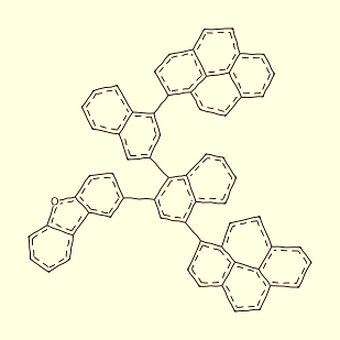 c1ccc2c(-c3ccc4ccc5cccc6ccc3c4c56)cc(-c3c(-c4ccc5oc6ccccc6c5c4)cc(-c4ccc5ccc6cccc7ccc4c5c67)c4ccccc34)cc2c1